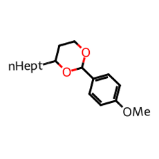 CCCCCCCC1CCOC(c2ccc(OC)cc2)O1